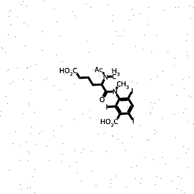 CC(=O)N(C)C(CCCC(=O)O)C(=O)N(C)c1c(I)cc(I)c(C(=O)O)c1I